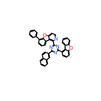 c1ccc(-c2cccc3c2oc2ccnc(-c4nc(-c5ccc6ccccc6c5)nc(-c5cccc6oc7ccccc7c56)n4)c23)cc1